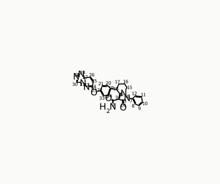 NC(=O)c1c2n(n(-c3ccccc3)c1=O)CCCC2c1ccc(Oc2ccc3nncn3n2)cc1